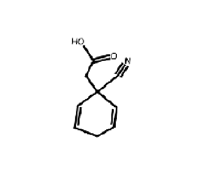 N#CC1(CC(=O)O)C=CCC=C1